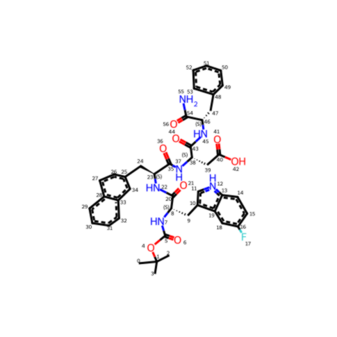 CC(C)(C)OC(=O)N[C@@H](Cc1c[nH]c2ccc(F)cc12)C(=O)N[C@@H](Cc1ccc2ccccc2c1)C(=O)N[C@@H](CC(=O)O)C(=O)N[C@@H](Cc1ccccc1)C(N)=O